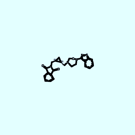 O=C1c2ccccc2C(=O)N1C[C@H]1C[C@@H]1CN1CCN(c2nsc3ccccc23)CC1